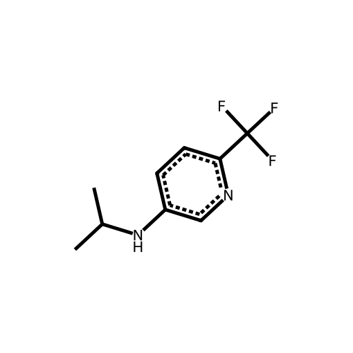 CC(C)Nc1ccc(C(F)(F)F)nc1